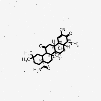 C[C@@H]1C(=O)C(C#N)=C[C@]2(C)[C@H]3CC(=O)C4C5CC(C)(C)CC[C@]5(C(N)=O)CC[C@@]4(C)[C@]3(C)CC[C@@H]12